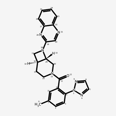 Cc1ccc(-n2nccn2)c(C(=O)N2CC[C@H]3CN(c4cnc5ccccc5n4)[C@@H]3C2)c1